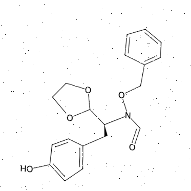 O=CN(OCc1ccccc1)[C@@H](Cc1ccc(O)cc1)C1OCCO1